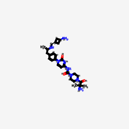 CC(Cc1ccc(-n2ccc(NC(=O)N3CCN(C(=O)C(C)(C)N)CC3)nc2=O)cc1)NC[C@H]1C[C@H](N)C1